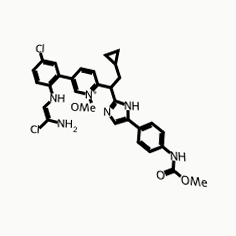 COC(=O)Nc1ccc(-c2cnc(C(CC3CC3)c3ccc(-c4cc(Cl)ccc4N/C=C(\N)Cl)c[n+]3OC)[nH]2)cc1